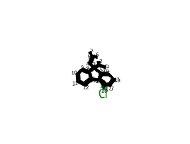 C=C(C)C1(C=C(C)C)c2ccccc2-c2c(Cl)cccc21